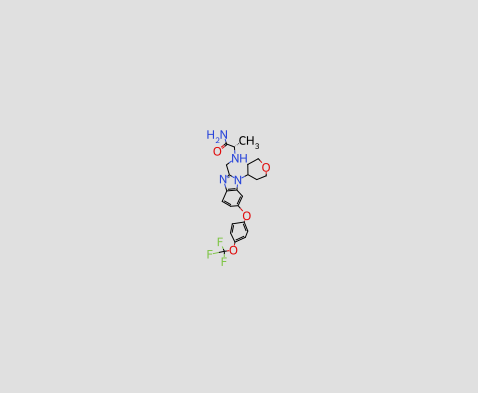 C[C@H](NCc1nc2ccc(Oc3ccc(OC(F)(F)F)cc3)cc2n1C1CCOCC1)C(N)=O